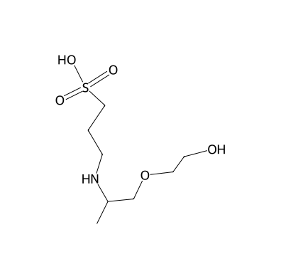 CC(COCCO)NCCCS(=O)(=O)O